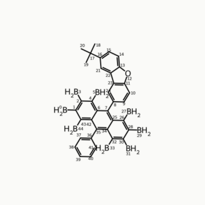 Bc1c(B)c(B)c2c(-c3ccc4oc5ccc(C(C)(C)C)cc5c4c3)c3c(B)c(B)c(B)c(B)c3c(-c3ccccc3)c2c1B